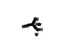 OB(O)O.[K+].[OH-]